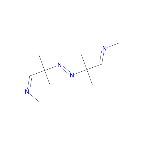 C/N=C\C(C)(C)N=NC(C)(C)/C=N/C